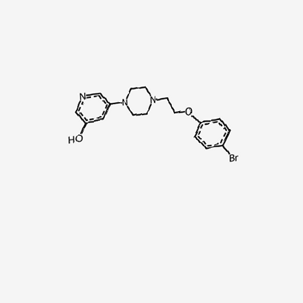 Oc1cncc(N2CCN(CCOc3ccc(Br)cc3)CC2)c1